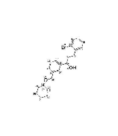 OC(CCc1ccccc1Br)c1cccc(CO[C@H]2CCCCO2)c1